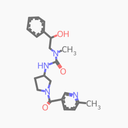 Cc1ccc(C(=O)N2CCC(NC(=O)N(C)CC(O)c3ccccc3)C2)cn1